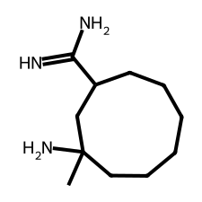 CC1(N)CCCCCCC(C(=N)N)C1